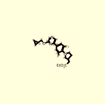 CCOC(=O)CC1CCN(c2c(F)cc(-c3cncc(OCC4CC4)n3)cc2F)C1